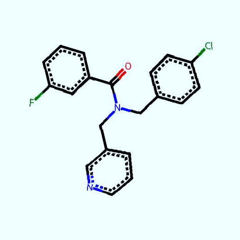 O=C(c1cccc(F)c1)N(Cc1ccc(Cl)cc1)Cc1cccnc1